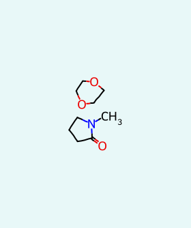 C1COCCO1.CN1CCCC1=O